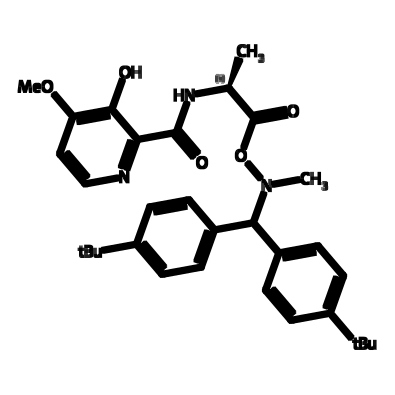 COc1ccnc(C(=O)N[C@@H](C)C(=O)ON(C)C(c2ccc(C(C)(C)C)cc2)c2ccc(C(C)(C)C)cc2)c1O